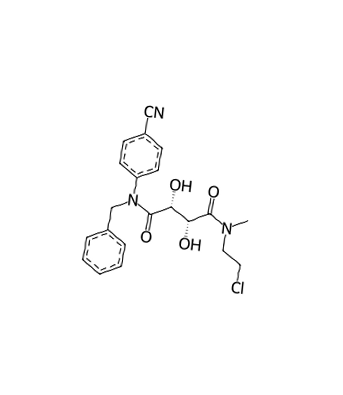 CN(CCCl)C(=O)[C@H](O)[C@@H](O)C(=O)N(Cc1ccccc1)c1ccc(C#N)cc1